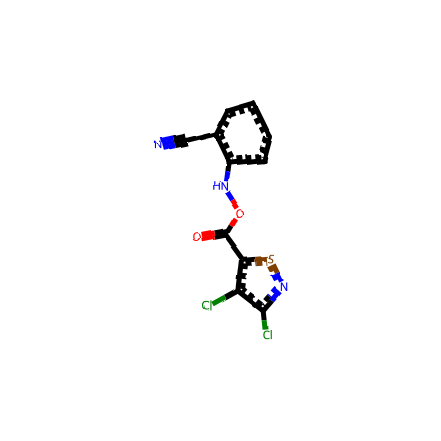 N#Cc1ccccc1NOC(=O)c1snc(Cl)c1Cl